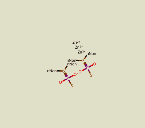 CCCCCCCCCS(CCCCCCCCC)=P([O-])([O-])[S-].CCCCCCCCCS(CCCCCCCCC)=P([O-])([O-])[S-].[Zn+2].[Zn+2].[Zn+2]